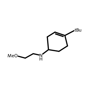 COCCNC1CC=C(C(C)(C)C)CC1